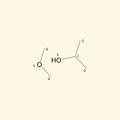 CC(C)O.COC